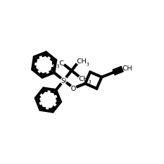 C#CC1CC(O[Si](c2ccccc2)(c2ccccc2)C(C)(C)C)C1